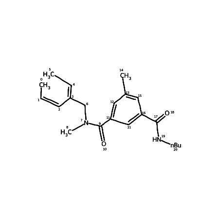 C/C=C\C(=C/C)CN(C)C(=O)c1cc(C)cc(C(=O)NCCCC)c1